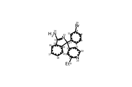 CCc1cc(C2(c3cccc(Br)c3)N=C(N)c3ccccc32)ccn1